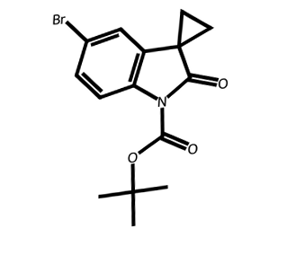 CC(C)(C)OC(=O)N1C(=O)C2(CC2)c2cc(Br)ccc21